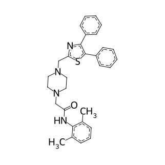 Cc1cccc(C)c1NC(=O)CN1CCN(Cc2nc(-c3ccccc3)c(-c3ccccc3)s2)CC1